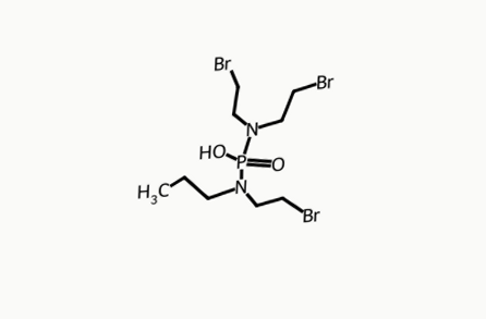 CCCN(CCBr)P(=O)(O)N(CCBr)CCBr